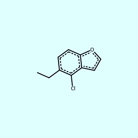 CCc1ccc2occc2c1Cl